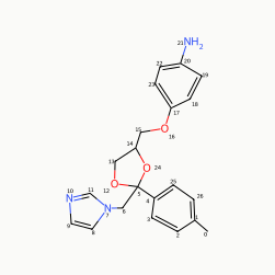 Cc1ccc(C2(Cn3ccnc3)OCC(COc3ccc(N)cc3)O2)cc1